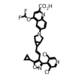 O=C(O)c1cc(OC(F)F)c2cc(N3CC4C(/C=C/c5c(-c6c(Cl)cncc6Cl)noc5C5CC5)C4C3)ccc2n1